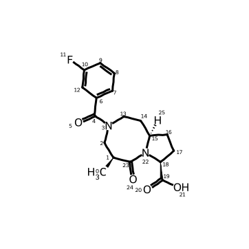 C[C@H]1CN(C(=O)c2cccc(F)c2)CC[C@H]2CC[C@@H](C(=O)O)N2C1=O